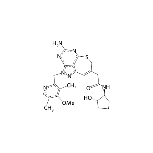 COc1c(C)cnc(Cn2nc3c4c(nc(N)nc42)SCC(CC(=O)N[C@H]2CCC[C@@H]2O)=C3)c1C